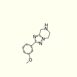 COc1cccc(-c2nc3n(n2)CCNC3)c1